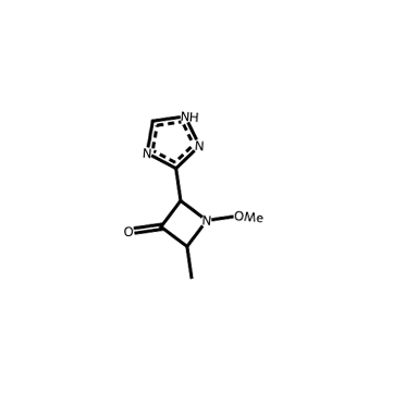 CON1C(C)C(=O)C1c1nc[nH]n1